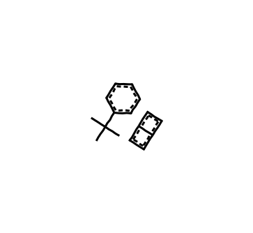 CC(C)(C)c1ccccc1.c1cc2ccc1-2